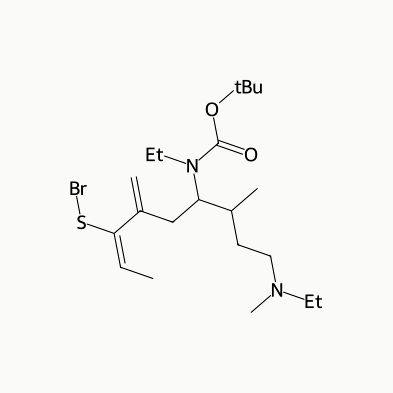 C=C(CC(C(C)CCN(C)CC)N(CC)C(=O)OC(C)(C)C)/C(=C\C)SBr